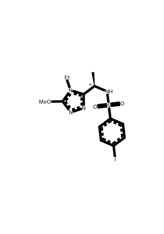 CCn1c(OC)nnc1[C@@H](C)NS(=O)(=O)c1ccc(I)cc1